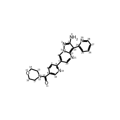 Nc1nn2cc(-c3ccc(C(=O)N4CCOCC4)cn3)cnc2c1-c1ccccn1